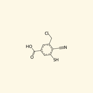 N#Cc1c(S)cc(C(=O)O)cc1CCl